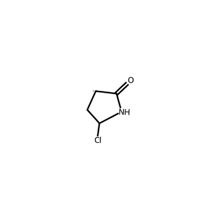 O=C1[CH]CC(Cl)N1